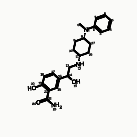 CN(c1ccccc1)[C@H]1CC[C@@H](NCC(O)c2ccc(O)c(C(N)=O)c2)CC1